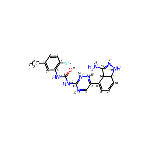 Cc1ccc(F)c(NC(=O)Nc2ncc(C3=CC=CC4NN=C(N)C34)nn2)c1